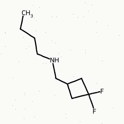 CCCCNCC1CC(F)(F)C1